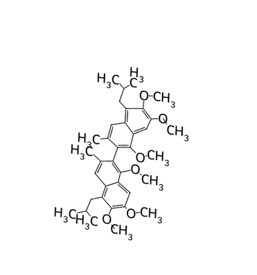 COc1cc2c(OC)c(-c3c(C)cc4c(CC(C)C)c(OC)c(OC)cc4c3OC)c(C)cc2c(CC(C)C)c1OC